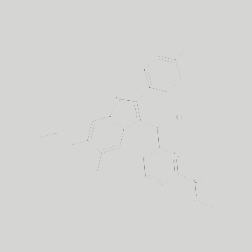 CCOc1cc2[nH]c(-c3ccc(F)cc3)c(C(O)c3cccc(C(=O)OC)n3)c2cc1C